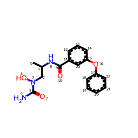 CC(CN(O)C(N)=O)NC(=O)c1cccc(Oc2ccccc2)c1